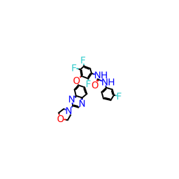 O=C(Nc1cccc(F)c1)Nc1cc(F)c(F)c(Oc2ccc3ncc(N4CCOCC4)nc3c2)c1F